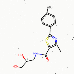 CCCCc1ccc(-c2nc(C)c(C(=O)NC[C@H](O)CO)s2)cc1